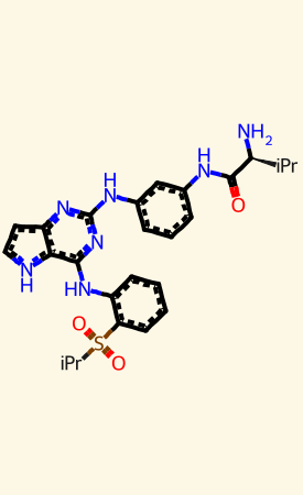 CC(C)[C@H](N)C(=O)Nc1cccc(Nc2nc(Nc3ccccc3S(=O)(=O)C(C)C)c3[nH]ccc3n2)c1